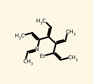 CC=NC(=CC)C(=CC)C(=CC)C(=CC)CC